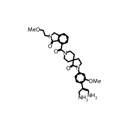 COCCN1Cc2cccc(C(=O)N3CCC4(CC3)CCN(c3ccc(/C(=C/N)CN)c(OC)c3)C4=O)c2C1=O